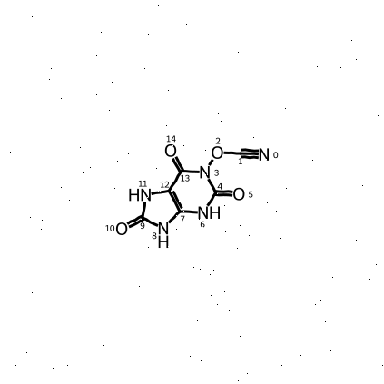 N#COn1c(=O)[nH]c2[nH]c(=O)[nH]c2c1=O